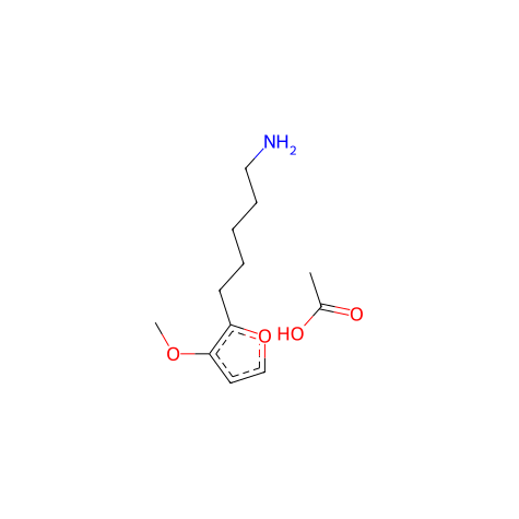 CC(=O)O.COc1ccoc1CCCCCN